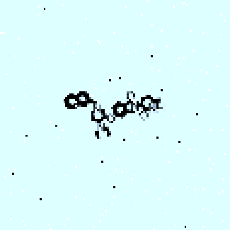 C=C1CCC(N2Cc3cc(O[C@H]4CN(Cc5ccc6ccccc6c5)CC[C@@H]4N(CC)CC)ccc3C2=O)C(=O)N1